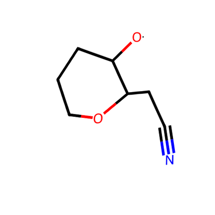 N#CCC1OCCCC1[O]